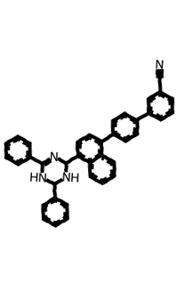 N#Cc1cccc(-c2ccc(-c3ccc(C4N=C(c5ccccc5)NC(c5ccccc5)N4)c4ccccc34)cc2)c1